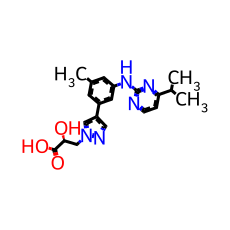 Cc1cc(Nc2nccc(C(C)C)n2)cc(-c2cnn(C[C@H](O)C(=O)O)c2)c1